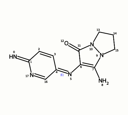 N=C1C=C/C(=N\c2c(N)n3n(c2=O)CCC3)C=N1